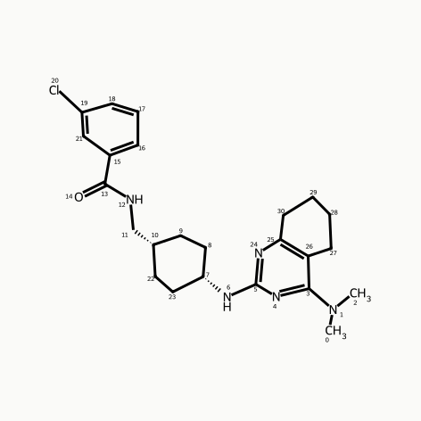 CN(C)c1nc(N[C@H]2CC[C@@H](CNC(=O)c3cccc(Cl)c3)CC2)nc2c1CCCC2